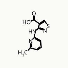 Cc1cccc(Nc2nscc2C(=O)O)n1